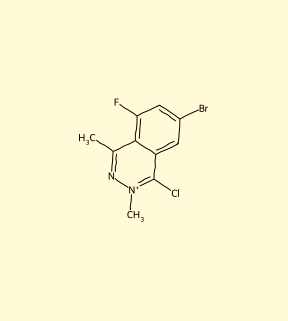 Cc1n[n+](C)c(Cl)c2cc(Br)cc(F)c12